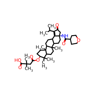 CC(C)C1=C2C3CCC4C(C)(CCC5C(C)(C)[C@@H](OC(=O)CC(C)(C)C(=O)O)CC[C@]45C)C3CC[C@@]2(NC(=O)C2CCOCC2)CC1=O